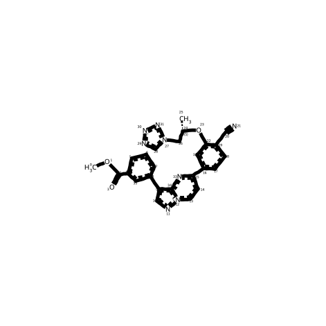 COC(=O)c1cccc(-c2cnn3ccc(-c4ccc(C#N)c(O[C@@H](C)Cn5cnnn5)c4)nc23)c1